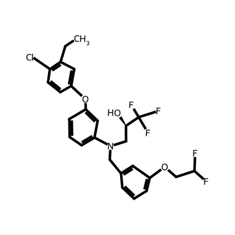 CCc1cc(Oc2cccc(N(Cc3cccc(OCC(F)F)c3)C[C@@H](O)C(F)(F)F)c2)ccc1Cl